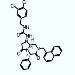 O=C(NCc1ccc(Cl)c(Cl)c1)NN1CC(=O)N2[C@@H](c3ccccc3)C(=O)N(Cc3cccc4ccccc34)C[C@H]12